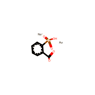 O=C([O-])c1ccccc1S(=O)(=O)O.[Au].[Na+]